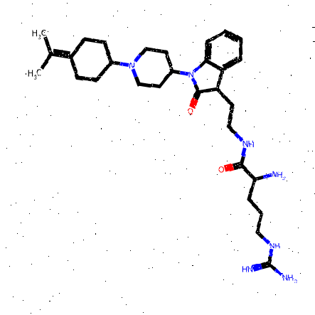 CC(C)=C1CCC(N2CCC(N3C(=O)C(CCNC(=O)C(N)CCCNC(=N)N)c4ccccc43)CC2)CC1